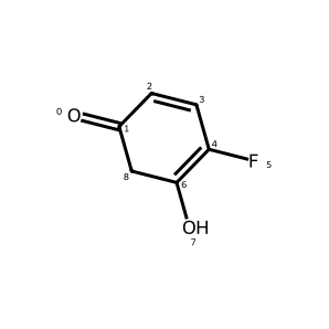 O=C1C=CC(F)=C(O)C1